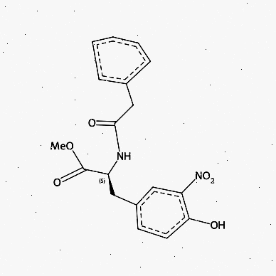 COC(=O)[C@H](Cc1ccc(O)c([N+](=O)[O-])c1)NC(=O)Cc1ccccc1